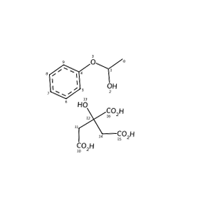 CC(O)Oc1ccccc1.O=C(O)CC(O)(CC(=O)O)C(=O)O